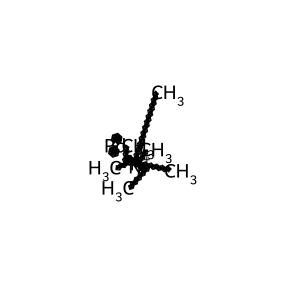 CCCCCCCCCCCCCCCCCCCCCCCCC1=C(c2cc(CCCC)cc(CCCC)c2)[N+](=[N-])C(c2cc(CCCCCCCC)cc(CCCCCCCC)c2)=C1CCCC.c1cc[c]([Pd][c]2ccccc2)cc1